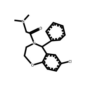 CN(C)CC(=O)N1CCOc2ccc(Cl)cc2C1c1ccccc1